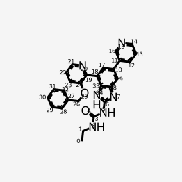 CCNC(=O)Nc1nc2cc(-c3cccnc3)cc(-c3ncccc3OCc3ccccc3)c2[nH]1